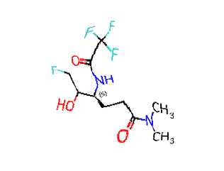 CN(C)C(=O)CC[C@H](NC(=O)C(F)(F)F)C(O)CF